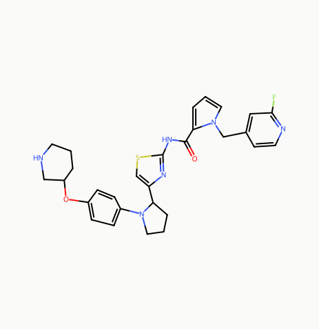 O=C(Nc1nc(C2CCCN2c2ccc(OC3CCCNC3)cc2)cs1)c1cccn1Cc1ccnc(F)c1